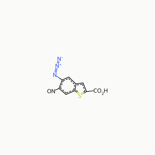 [N-]=[N+]=Nc1cc2cc(C(=O)O)sc2cc1N=O